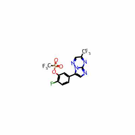 O=S(=O)(Oc1cc(-c2cnc3nc(C(F)(F)F)cnn23)ccc1F)C(F)(F)F